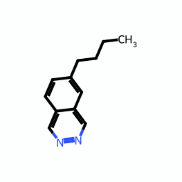 CCCCc1ccc2cnncc2c1